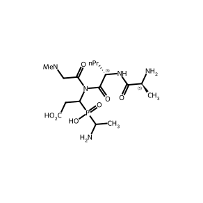 CCC[C@H](NC(=O)[C@H](C)N)C(=O)N(C(=O)CNC)C(CC(=O)O)P(=O)(O)C(C)N